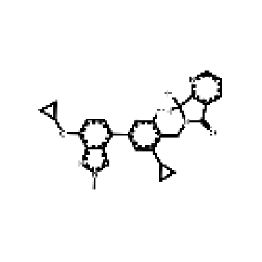 [2H]C1([2H])c2ncccc2C(=O)N1Cc1c(F)cc(-c2ccc(OC3CC3)c3nn(C)cc23)cc1C1CC1